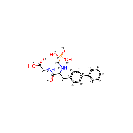 O=C(O)CNC(=O)C(Cc1ccc(-c2ccccc2)cc1)NCP(=O)(O)O